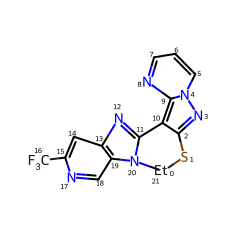 CCSc1nn2cccnc2c1-c1nc2cc(C(F)(F)F)ncc2n1C